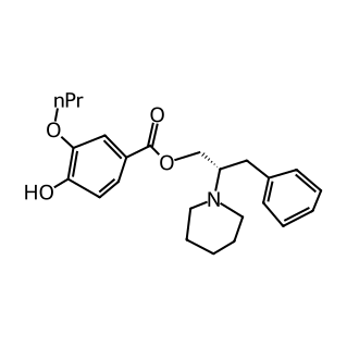 CCCOc1cc(C(=O)OC[C@H](Cc2ccccc2)N2CCCCC2)ccc1O